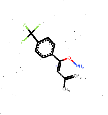 C=C(C)/C=C(\ON)c1ccc(C(F)(F)F)cc1